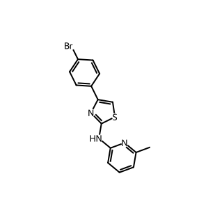 Cc1cccc(Nc2nc(-c3ccc(Br)cc3)cs2)n1